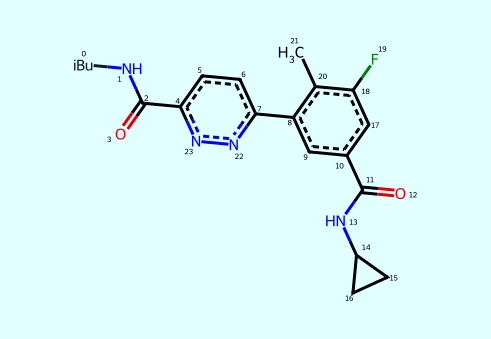 CCC(C)NC(=O)c1ccc(-c2cc(C(=O)NC3CC3)cc(F)c2C)nn1